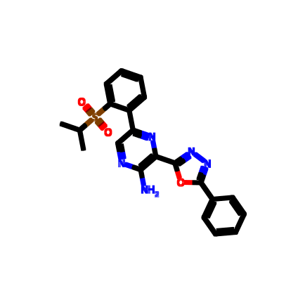 CC(C)S(=O)(=O)c1ccccc1-c1cnc(N)c(-c2nnc(-c3ccccc3)o2)n1